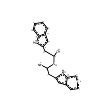 N#CC(Cc1cc2ccccc2[nH]1)SC(C#N)Cc1cc2ccccc2[nH]1